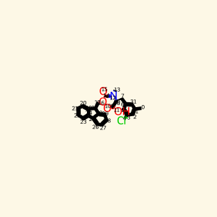 Cc1cc(Cl)cc(C[C@@H](C(=O)O)N(C)C(=O)OCC2c3ccccc3-c3ccccc32)c1